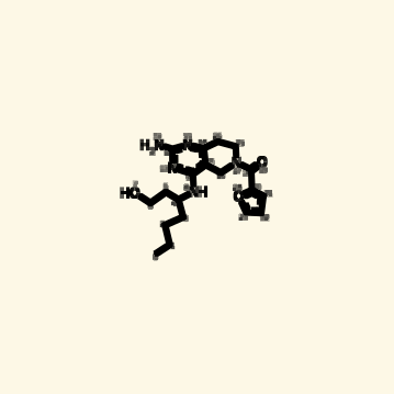 CCCCC(CCO)Nc1nc(N)nc2c1CN(C(=O)c1ccco1)CC2